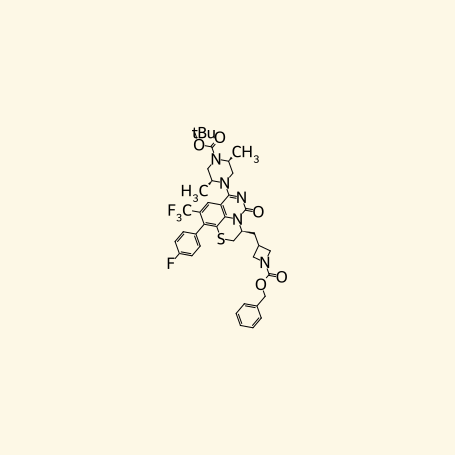 C[C@H]1CN(c2nc(=O)n3c4c(c(-c5ccc(F)cc5)c(C(F)(F)F)cc24)SC[C@@H]3CC2CN(C(=O)OCc3ccccc3)C2)[C@@H](C)CN1C(=O)OC(C)(C)C